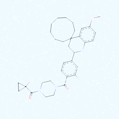 COc1ccc2c(c1)C1(CCCCCCCC1)CC(c1ccc(C(=O)N3CCN(C(=O)C4(O)CC4)CC3)c(F)c1)N2